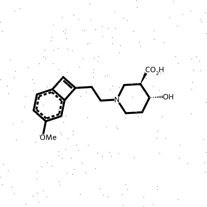 COc1ccc2c(c1)C(CCN1CC[C@@H](O)[C@H](C(=O)O)C1)=C2